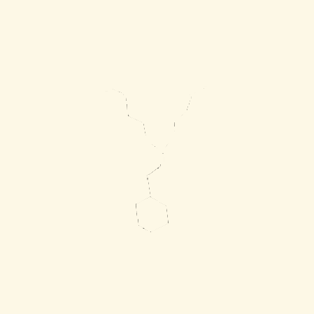 CCOCCO[SiH](CCC1CCCCC1)OCCOCC